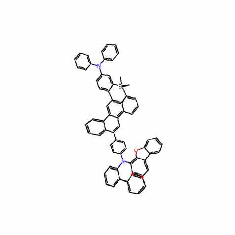 C[Si]1(C)c2cc(N(c3ccccc3)c3ccccc3)ccc2-c2cc3c4ccccc4c(-c4ccc(N(c5ccccc5-c5ccccc5)c5cccc6c5oc5ccccc56)cc4)cc3c3cccc1c23